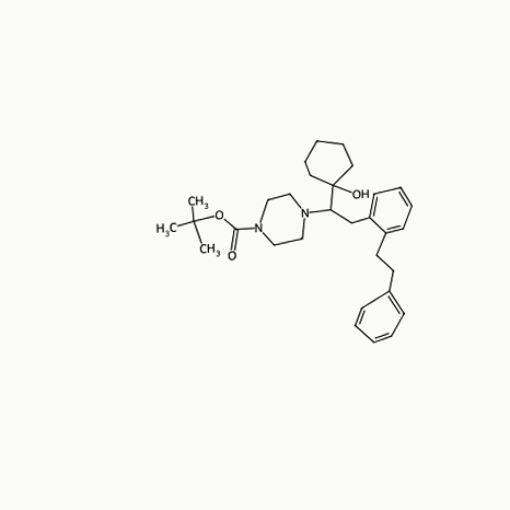 CC(C)(C)OC(=O)N1CCN(C(Cc2ccccc2CCc2ccccc2)C2(O)CCCCC2)CC1